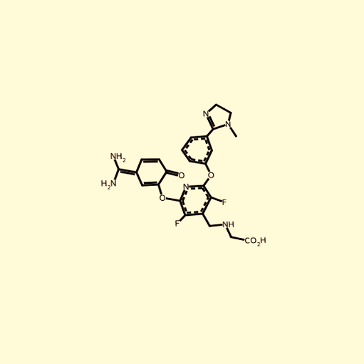 CN1CCN=C1c1cccc(Oc2nc(OC3=CC(=C(N)N)C=CC3=O)c(F)c(CNCC(=O)O)c2F)c1